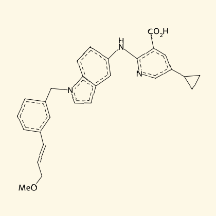 COCC=Cc1cccc(Cn2ccc3cc(Nc4ncc(C5CC5)cc4C(=O)O)ccc32)c1